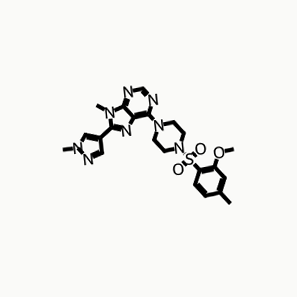 COc1cc(C)ccc1S(=O)(=O)N1CCN(c2ncnc3c2nc(-c2cnn(C)c2)n3C)CC1